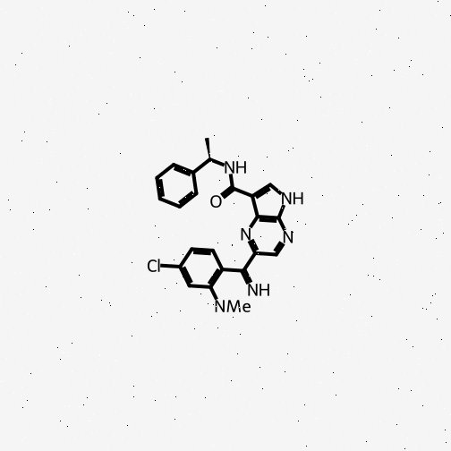 CNc1cc(Cl)ccc1C(=N)c1cnc2[nH]cc(C(=O)N[C@H](C)c3ccccc3)c2n1